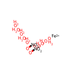 O.O.O.O.O.O.O.O.O.O=[N+]([O-])[O-].O=[N+]([O-])[O-].[Fe+2]